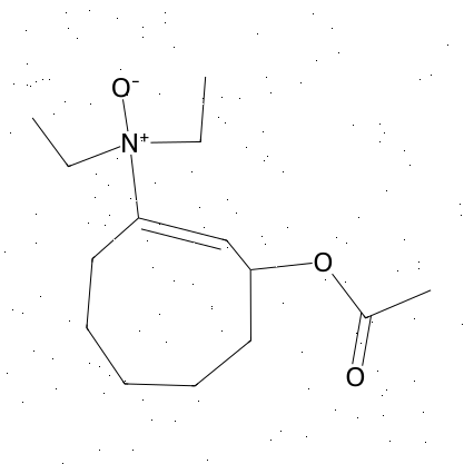 CC[N+]([O-])(CC)/C1=C/C(OC(C)=O)CCCCC1